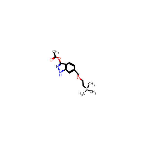 CC(=O)Oc1n[nH]c2cc(COCC[Si](C)(C)C)ccc12